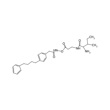 CCC(C)C(N)C(=O)NCCC(=O)ONC(=O)Cc1ccc(CCCCc2ccccc2)cc1